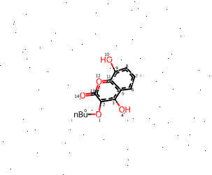 CCCCOc1c(O)c2cccc(O)c2oc1=O